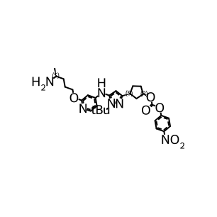 C[C@H](N)CCCOc1cc(Nc2cc([C@H]3CC[C@@H](OC(=O)Oc4ccc([N+](=O)[O-])cc4)C3)nn2C(C)(C)C)ccn1